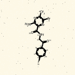 Nc1nc(C(F)(F)F)c(Br)nc1C(=O)NCC(=O)c1ccc(F)cc1